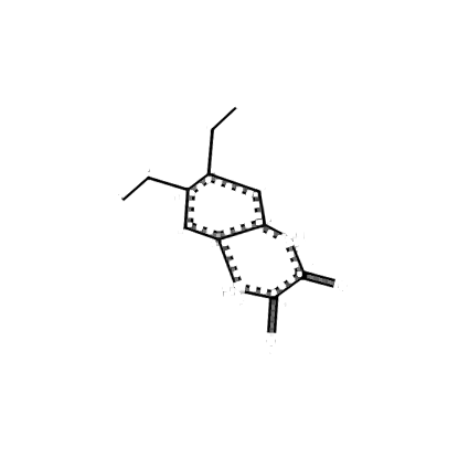 CCc1cc2[nH]c(=O)c(=O)[nH]c2cc1CC